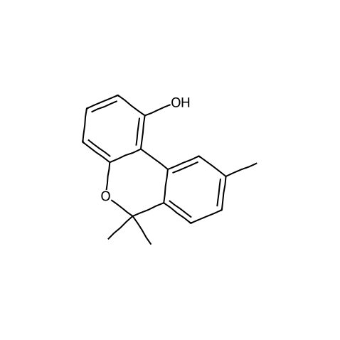 Cc1ccc2c(c1)-c1c(O)cccc1OC2(C)C